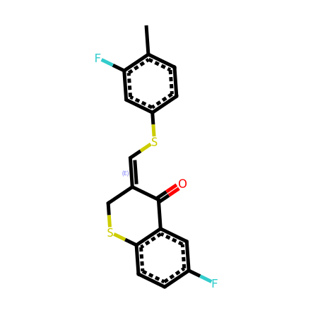 Cc1ccc(S/C=C2/CSc3ccc(F)cc3C2=O)cc1F